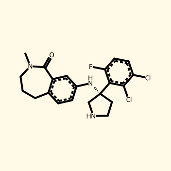 CN1CCCc2ccc(N[C@]3(c4c(F)ccc(Cl)c4Cl)CCNC3)cc2C1=O